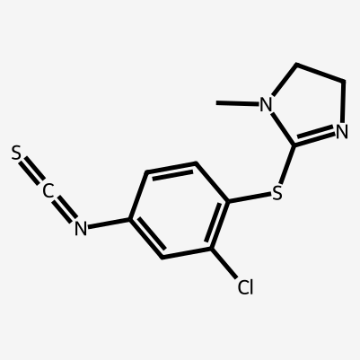 CN1CCN=C1Sc1ccc(N=C=S)cc1Cl